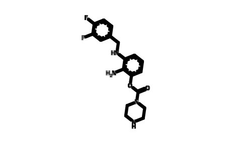 Nc1c(NCc2ccc(F)c(F)c2)cccc1OC(=O)N1CCNCC1